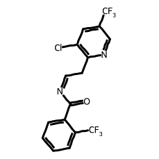 O=C(/N=C\Cc1ncc(C(F)(F)F)cc1Cl)c1ccccc1C(F)(F)F